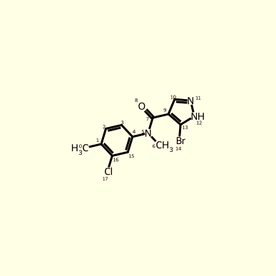 Cc1ccc(N(C)C(=O)c2cn[nH]c2Br)cc1Cl